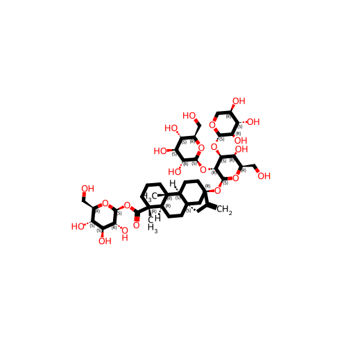 C=C1C[C@]23CC[C@@H]4[C@](C)(CCC[C@@]4(C)C(=O)O[C@@H]4O[C@H](CO)[C@@H](O)[C@H](O)[C@H]4O)[C@H]2CC[C@@]1(O[C@@H]1O[C@H](CO)[C@@H](O)[C@H](O[C@@H]2OC[C@@H](O)[C@H](O)[C@H]2O)[C@H]1O[C@@H]1O[C@H](CO)[C@@H](O)[C@H](O)[C@H]1O)C3